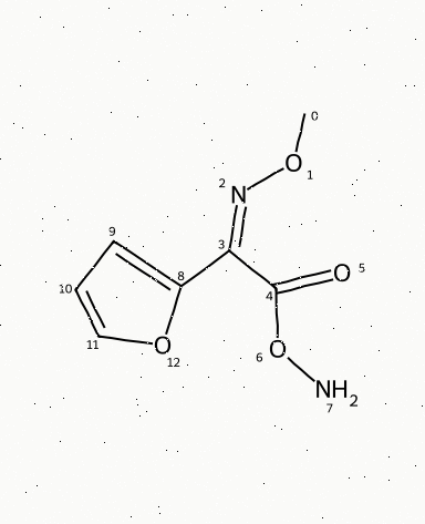 CON=C(C(=O)ON)c1ccco1